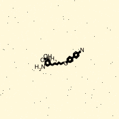 N#Cc1ccc(-c2ccc(OCCCCCCC3=CC(N)(C(=O)O)CC(N)=C3)cc2)cc1